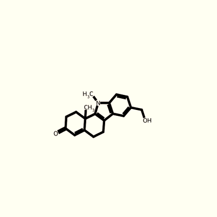 Cn1c2c(c3cc(CO)ccc31)CCC1=CC(=O)CCC12C